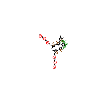 COCCOCCOCCc1sc(-c2cc(C3=C(c4cc(-c5cc(C)c(CCOCCOCCOC)s5)sc4-c4cc(C)c(C)s4)C(F)(F)C(F)(F)C3(F)F)cs2)cc1C